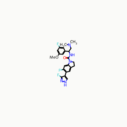 COc1cc(F)cc(C(CN(C)C)NC(=O)N2CCc3cc(-c4c[nH]nc4F)c(F)cc32)c1